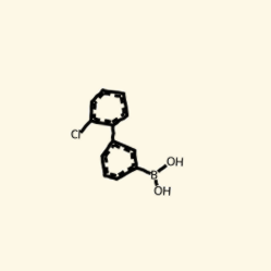 OB(O)c1cccc(-c2ccccc2Cl)c1